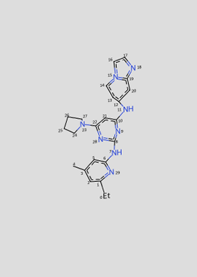 CCc1cc(C)cc(Nc2nc(Nc3ccn4ccnc4c3)cc(N3CCCC3)n2)n1